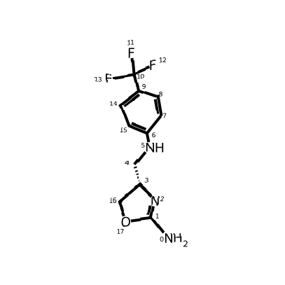 NC1=N[C@@H](CNc2ccc(C(F)(F)F)cc2)CO1